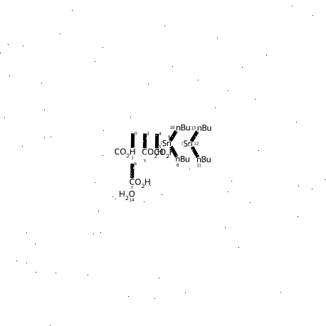 CC(=O)O.CC(=O)O.CC(=O)O.CC(=O)O.CCC[CH2][Sn][CH2]CCC.CCC[CH2][Sn][CH2]CCC.O